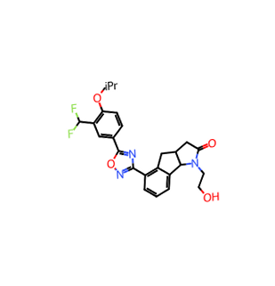 CC(C)Oc1ccc(-c2nc(-c3cccc4c3CC3CC(=O)N(CCO)C43)no2)cc1C(F)F